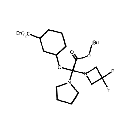 CCOC(=O)C1CCCC(OC(C(=O)OC(C)(C)C)(N2CCCC2)N2CC(F)(F)C2)C1